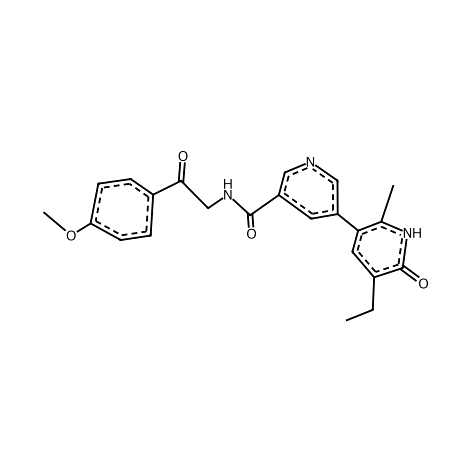 CCc1cc(-c2cncc(C(=O)NCC(=O)c3ccc(OC)cc3)c2)c(C)[nH]c1=O